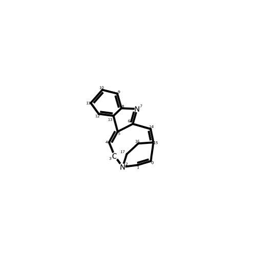 C1=CN2CC=C3C(=Nc4ccccc43)C=C1CC2